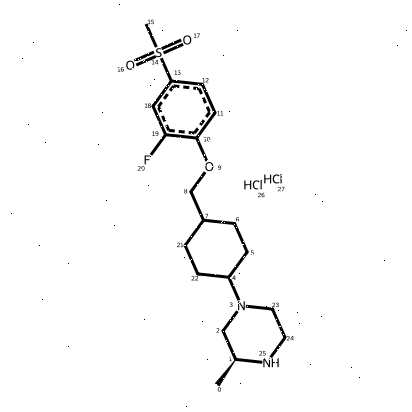 C[C@H]1CN(C2CCC(COc3ccc(S(C)(=O)=O)cc3F)CC2)CCN1.Cl.Cl